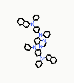 c1ccc(N(c2ccc(N(c3ccccc3)c3ccc(N(c4ccccc4)c4ccc(N(c5ccccc5)c5ccc6ccccc6c5)cc4)c4nccnc34)cc2)c2ccc3ccccc3c2)cc1